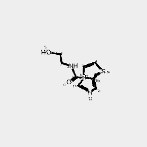 O=C(NCCO)[N+]12C=CSC1=CN=C2